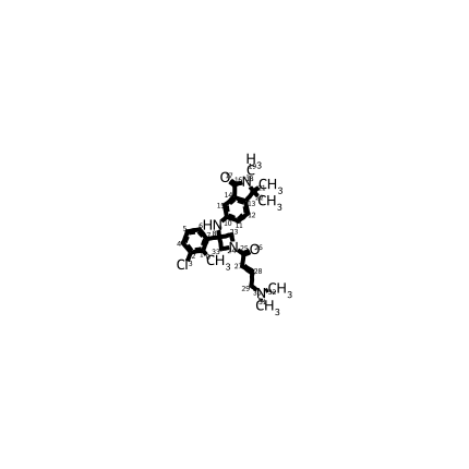 Cc1c(Cl)cccc1C1(Nc2ccc3c(c2)C(=O)N(C)C3(C)C)CN(C(=O)/C=C/CN(C)C)C1